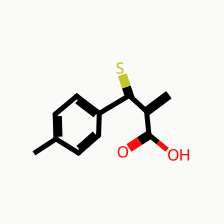 C=C(C(=O)O)C(=S)c1ccc(C)cc1